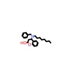 CCCCCCCCN(Cc1ccccc1)C(CC(=O)O)c1ccccc1